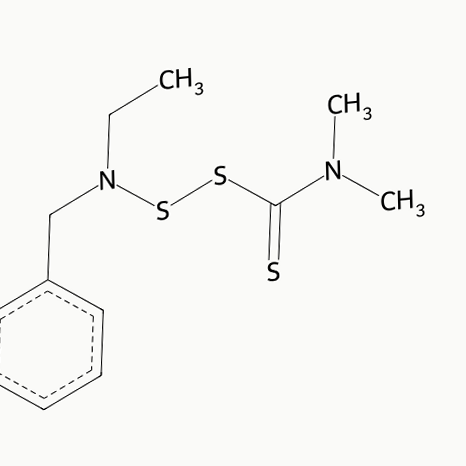 CCN(Cc1ccccc1)SSC(=S)N(C)C